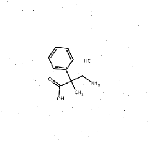 CC(CN)(C(=O)O)c1ccccc1.Cl